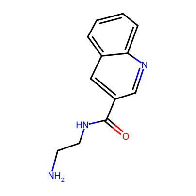 NCCNC(=O)c1cnc2ccccc2c1